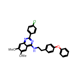 COc1cc2nc(-c3ccc(Cl)cc3)nc(NCCc3ccc(Oc4ccccc4)cc3)c2cc1OC